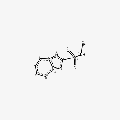 CC(C)NS(=O)(=O)c1nc2ccccn2n1